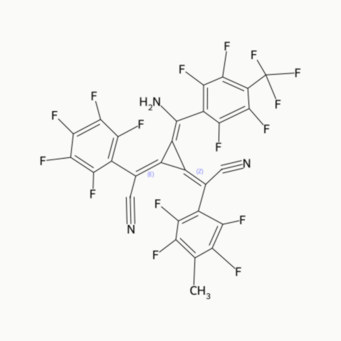 Cc1c(F)c(F)c(/C(C#N)=C2/C(=C(N)c3c(F)c(F)c(C(F)(F)F)c(F)c3F)/C2=C(/C#N)c2c(F)c(F)c(F)c(F)c2F)c(F)c1F